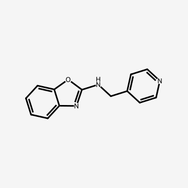 c1ccc2oc(NCc3ccncc3)nc2c1